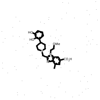 COCCn1c(CN2CCC(c3cccc(O)c3O)CC2)nc2c(C)cc(C(=O)O)cc21